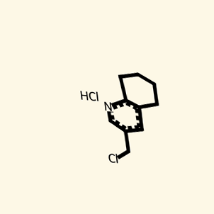 Cl.ClCc1cnc2c(c1)CCCC2